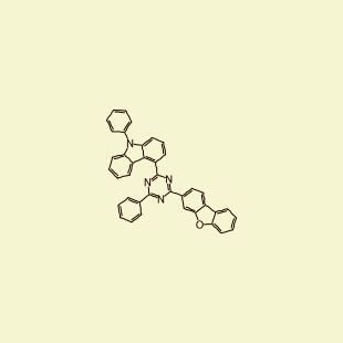 c1ccc(-c2nc(-c3ccc4c(c3)oc3ccccc34)nc(-c3cccc4c3c3ccccc3n4-c3ccccc3)n2)cc1